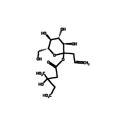 C=CCC1(OC(=O)CC(O)(CC(=O)O)C(=O)O)O[C@H](CO)[C@@H](O)[C@H](O)[C@H]1O